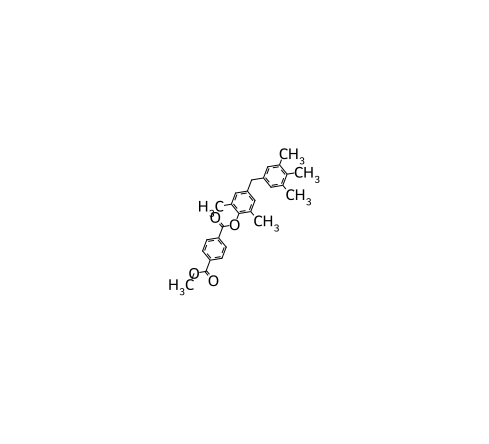 COC(=O)c1ccc(C(=O)Oc2c(C)cc(Cc3cc(C)c(C)c(C)c3)cc2C)cc1